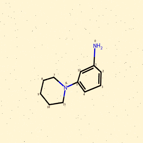 Nc1cccc(N2CCCCC2)c1